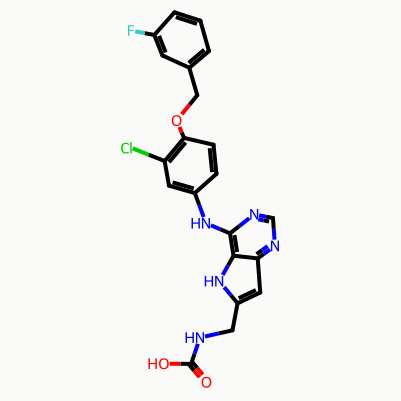 O=C(O)NCc1cc2ncnc(Nc3ccc(OCc4cccc(F)c4)c(Cl)c3)c2[nH]1